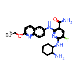 CC[C@H](C)COc1ccc2cc(Nc3nc(NC4CCCCC4N)c(F)cc3C(N)=O)ccc2n1